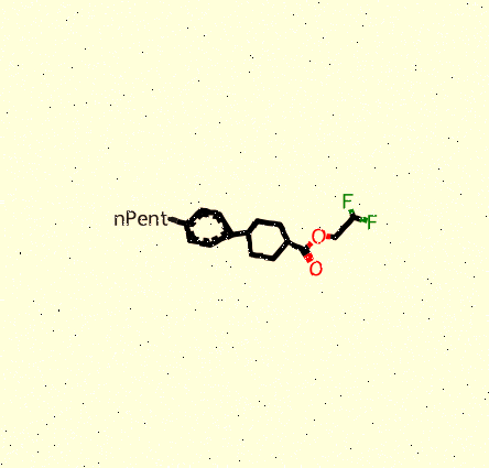 CCCCCc1ccc(C2CCC(C(=O)OCC(F)F)CC2)cc1